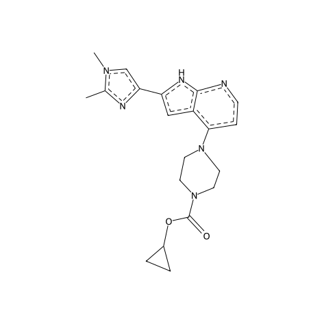 Cc1nc(-c2cc3c(N4CCN(C(=O)OC5CC5)CC4)ccnc3[nH]2)cn1C